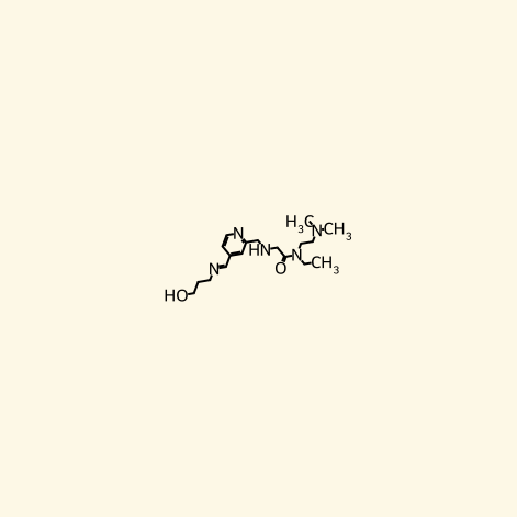 CCN(CCN(C)C)C(=O)CNCc1cc(/C=N/CCCO)ccn1